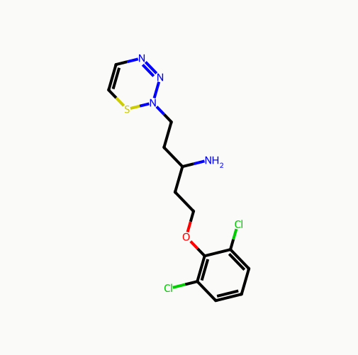 NC(CCOc1c(Cl)cccc1Cl)CCN1N=NC=CS1